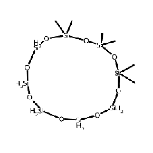 C[Si]1(C)O[SiH2]O[SiH2]O[SiH2]O[SiH2]O[SiH2]O[Si](C)(C)O[Si](C)(C)O1